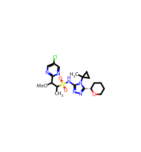 COC(c1ncc(Cl)cn1)C(C)S(=O)(=O)Nc1nnc([C@@H]2CCCCO2)n1C1(C)CC1